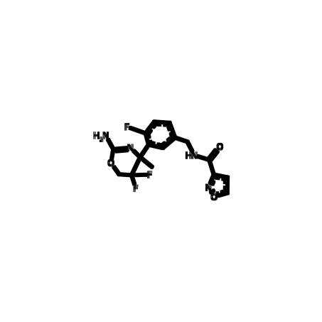 CC1(c2cc(CNC(=O)c3ccon3)ccc2F)N=C(N)OCC1(F)F